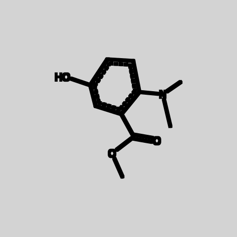 COC(=O)c1cc(O)ccc1N(C)C